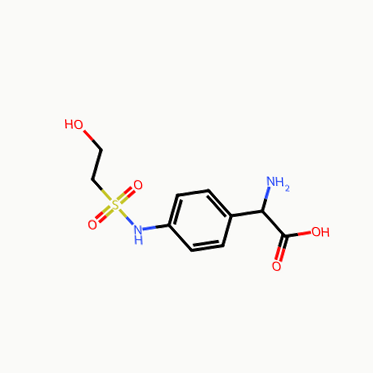 NC(C(=O)O)c1ccc(NS(=O)(=O)CCO)cc1